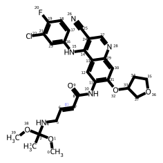 COC(C)(NC/C=C/C(=O)Nc1cc2c(Nc3ccc(F)c(Cl)c3)c(C#N)cnc2cc1OC1CCOC1)OC